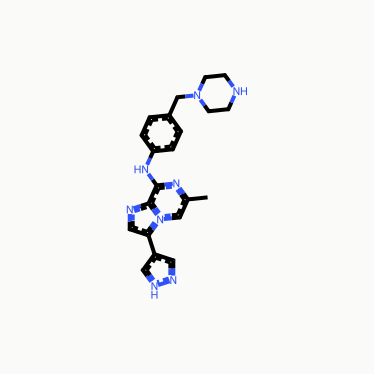 Cc1cn2c(-c3cn[nH]c3)cnc2c(Nc2ccc(CN3CCNCC3)cc2)n1